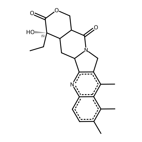 CC[C@@]1(O)C(=O)OCC2C(=O)N3Cc4c(nc5ccc(C)c(C)c5c4C)C3CC21